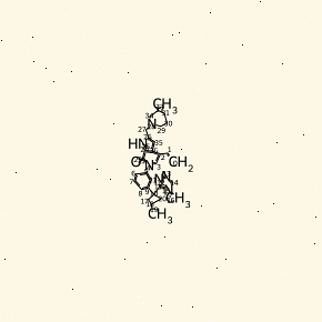 C=Cc1cn(-c2cccc(C3(c4nncn4C)CC(C)C3)c2)c(=O)c2[nH]c(CN3CCC[C@H](C)C3)cc12